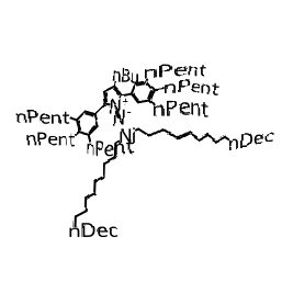 CCCCCCCCCCCCCCCCCC[CH2][Ni][CH2]CCCCCCCCCCCCCCCCCC.CCCCCc1cc(C2=CC(CCCC)=C(c3cc(CCCCC)c(CCCCC)c(CCCCC)c3)[N+]2=[N-])cc(CCCCC)c1CCCCC